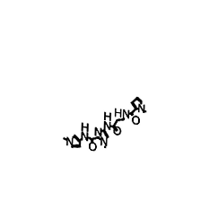 Cn1ccc(NC(=O)c2nc(NC(=O)CCNC(=O)c3cccn3C)cn2C)c1